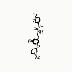 CCc1ccc(NC(=O)NCCc2cc(F)cc(OC3CCCN(C(C)=O)C3)c2)cn1